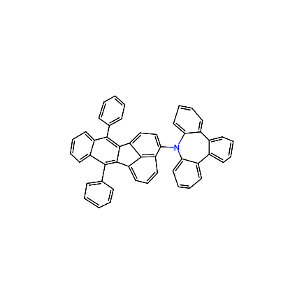 c1ccc(-c2c3c(c(-c4ccccc4)c4ccccc24)-c2ccc(N4c5ccccc5-c5ccccc5-c5ccccc54)c4cccc-3c24)cc1